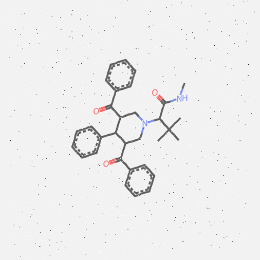 CNC(=O)C(N1CC(C(=O)c2ccccc2)C(c2ccccc2)C(C(=O)c2ccccc2)C1)C(C)(C)C